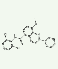 COc1ccc(C(=O)Nc2c(Cl)cncc2Cl)c2ccc(-c3cccnc3)nc12